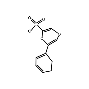 O=S(=O)(Cl)C1=COC=C(C2=CC=CCC2)O1